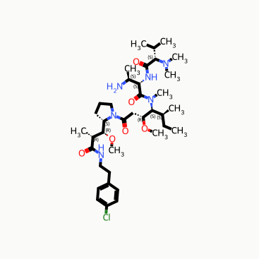 CC[C@H](C)[C@@H]([C@@H](CC(=O)N1CCC[C@H]1[C@H](OC)[C@@H](C)C(=O)NCCc1ccc(Cl)cc1)OC)N(C)C(=O)[C@@H](NC(=O)[C@H](C(C)C)N(C)C)[C@H](C)N